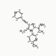 C=C(N)c1nc(C#Cc2ccncc2)c(C)n1-c1ccc(C)nc1